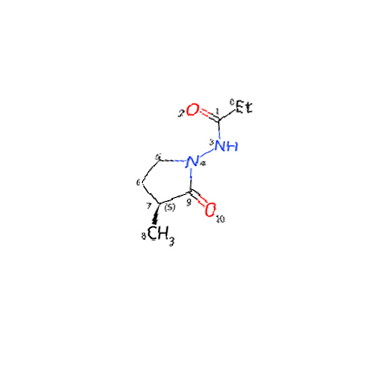 CCC(=O)NN1CC[C@H](C)C1=O